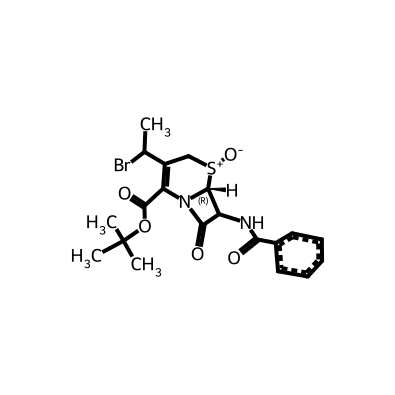 CC(Br)C1=C(C(=O)OC(C)(C)C)N2C(=O)C(NC(=O)c3ccccc3)[C@H]2[S+]([O-])C1